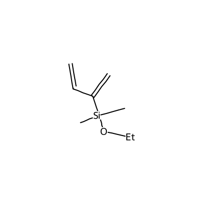 C=CC(=C)[Si](C)(C)OCC